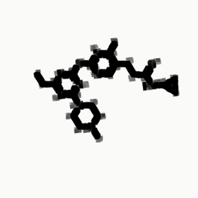 CCc1nc(Sc2ncc(CCC(=O)NC3CC3)c(C)n2)nc(N2CCN(C)CC2)n1